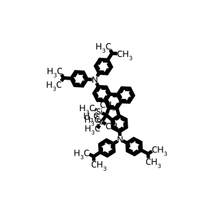 CC(C)c1ccc(N(c2ccc(C(C)C)cc2)c2ccc3c(c2)C([Si](C)(C)C)([Si](C)(C)C)c2c-3c3ccccc3c3cc(N(c4ccc(C(C)C)cc4)c4ccc(C(C)C)cc4)ccc23)cc1